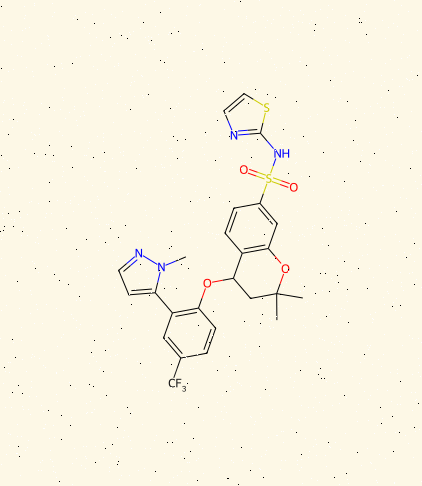 Cn1nccc1-c1cc(C(F)(F)F)ccc1OC1CC(C)(C)Oc2cc(S(=O)(=O)Nc3nccs3)ccc21